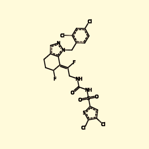 O=C(NCC(F)=C1c2c(cnn2Cc2ccc(Cl)cc2Cl)CCC1F)NS(=O)(=O)c1cc(Cl)c(Cl)s1